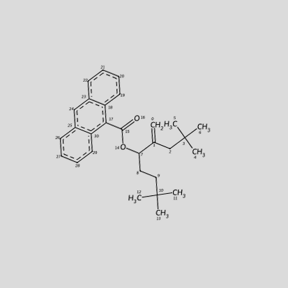 C=C(CC(C)(C)C)C(CCC(C)(C)C)OC(=O)c1c2ccccc2cc2ccccc12